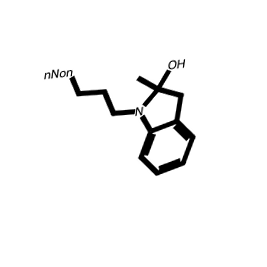 CCCCCCCCCCCCN1c2ccccc2CC1(C)O